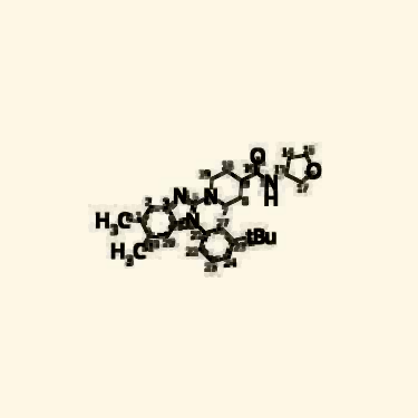 Cc1cc2nc(N3CCC(C(=O)N[C@@H]4CCOC4)CC3)n(-c3cccc(C(C)(C)C)c3)c2cc1C